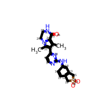 Cc1c(-c2ccnc(Nc3ccc4c(c3)CS(=O)(=O)C4)n2)c(C)n2c1C(=O)NCC2